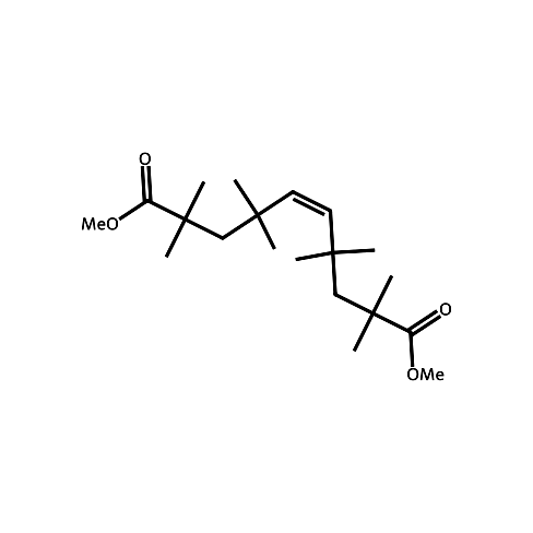 COC(=O)C(C)(C)CC(C)(C)/C=C\C(C)(C)CC(C)(C)C(=O)OC